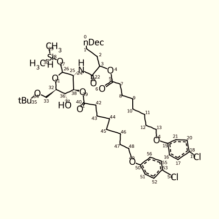 CCCCCCCCCCCCC(OC(=O)CCCCCCCOc1ccc(Cl)cc1)C(=O)N[C@H]1C(O[SiH](C)C)O[C@H](COC(C)(C)C)[C@@H](O)[C@@H]1OC(=O)CCCCCCCOc1ccc(Cl)cc1